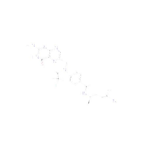 C[C@H](CCC(N)=O)NC(=O)c1ccc(N(Cc2cnc3nc(N)[nH]c(=O)c3n2)C(=O)C(F)(F)F)cc1